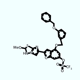 COC1Nn2cc(-c3cc4c(OCc5cccc(OCc6ccccc6)c5)cc(OS(=O)(=O)C(F)(F)F)cc4o3)nc2S1